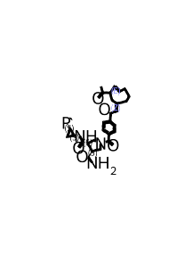 C=P[C@H]1C[C@@H]1NC(=O)[C@@H]1CN(C(=O)c2ccc(C(=O)/C=C3/CCC/C=C/C(C(C)=O)C3)cc2)C[C@H]1C(N)=O